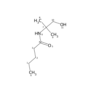 CCCCC(=O)NC(C)(C)CO